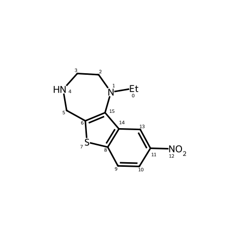 CCN1CCNCc2sc3ccc([N+](=O)[O-])cc3c21